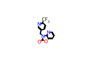 O=c1oc2cccnc2n1Cc1ccc(C(F)(F)F)nc1